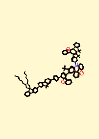 CCCCCCCC1(CCCCCCC)c2ccccc2-c2ccc(-c3ccc4c(c3)C(C)(C)c3cc(-c5ccc(-c6cc7c(c8c6oc6ccccc68)-c6ccc(N(c8ccc9c(c8)C(C)(C)c8c%10c(c%11oc%12ccccc%12c%11c8-9)-c8ccccc8C%10(C)C)c8cccc9oc%10ccccc%10c89)cc6C7(C)C)cc5)ccc3-4)cc21